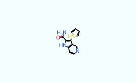 NC(=O)c1[nH]c2ccncc2c1[SH]1C=CC=C1